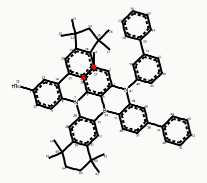 Cc1cc2c3c(c1)N(c1ccc(C(C)(C)C)cc1-c1ccc4c(c1)C(C)(C)CC4(C)C)c1cc4c(cc1B3c1ccc(-c3ccccc3)cc1N2c1cccc(-c2ccccc2)c1)C(C)(C)CCC4(C)C